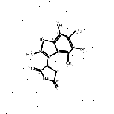 Bc1c(B)c(C)c2c(C3CC(=O)NC3=O)c(C)[nH]c2c1C